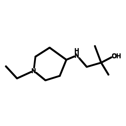 CCN1CCC(NCC(C)(C)O)CC1